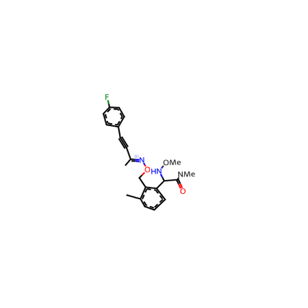 CNC(=O)C(NOC)c1cccc(C)c1CO/N=C(\C)C#Cc1ccc(F)cc1